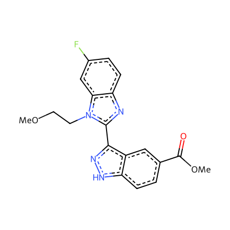 COCCn1c(-c2n[nH]c3ccc(C(=O)OC)cc23)nc2ccc(F)cc21